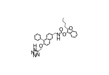 CCCCc1oc2ccccc2c1OC(=O)NCc1ccc2c(-c3ccccc3)c(OCc3nnn[nH]3)ccc2c1